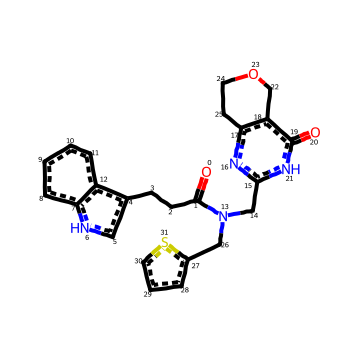 O=C(CCc1c[nH]c2ccccc12)N(Cc1nc2c(c(=O)[nH]1)COCC2)Cc1cccs1